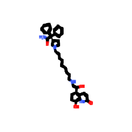 NC(=O)C(c1ccccc1)(c1ccccc1)[C@@H]1CCN(CCCCCCCCCNCC(O)c2ccc(O)c3[nH]c(=O)ccc23)C1